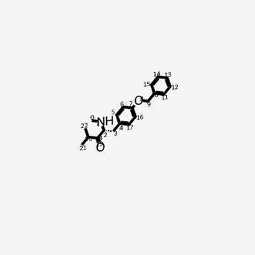 CN[C@H](Cc1ccc(OCc2ccccc2)cc1)C(=O)C(C)C